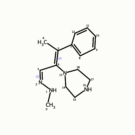 CN/N=C\C(=C(/C)c1ccccc1)N1CCNCC1